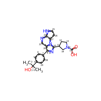 CC(C)(O)c1ccc(-c2nc(C3CCN(C(=O)O)C3)n3c2cnc2[nH]ccc23)cc1